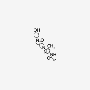 Cc1cc(NC(=O)C2CC2)cnc1N1CCC2(CC1)CCN(C1CCC(O)CC1)C2=O